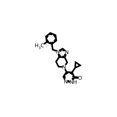 Cc1ccccc1Cn1cnc2c1CCN(c1cn[nH]c(=O)c1C1CC1)C2